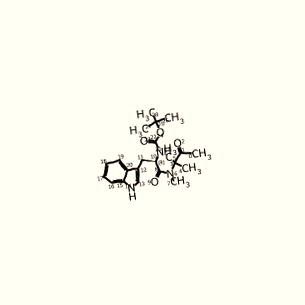 CC(=O)C(C)(C)N(C)C(=O)[C@@H](Cc1c[nH]c2ccccc12)NC(=O)OC(C)(C)C